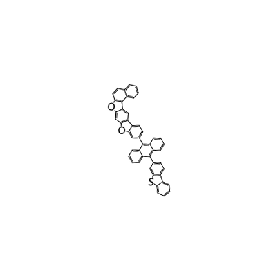 c1ccc2c(c1)ccc1oc3cc4oc5cc(-c6c7ccccc7c(-c7ccc8c(c7)sc7ccccc78)c7ccccc67)ccc5c4cc3c12